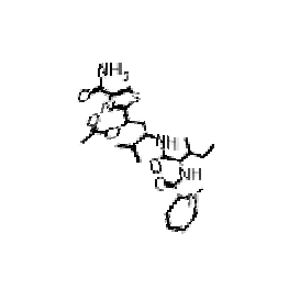 CCC(C)[C@H](NC(=O)[C@H]1CCCCN1C)C(=O)N[C@H](C[C@@H](OC(C)=O)c1nc(C(N)=O)cs1)C(C)C